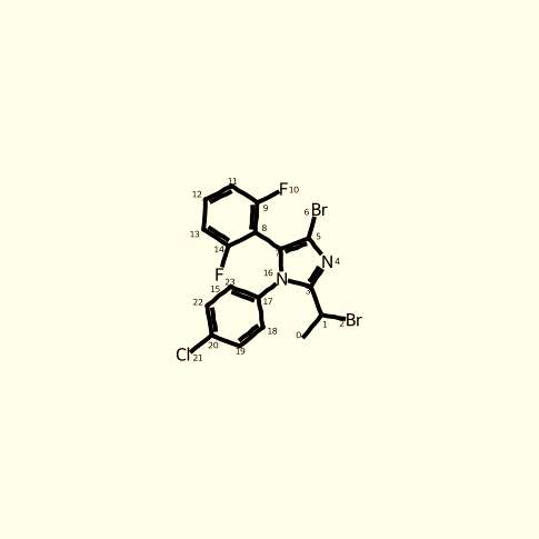 CC(Br)c1nc(Br)c(-c2c(F)cccc2F)n1-c1ccc(Cl)cc1